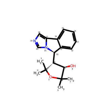 CC1(C)OC(C)(C)[C@H](O)[C@H]1[C@@H]1c2ccccc2-c2cncn21